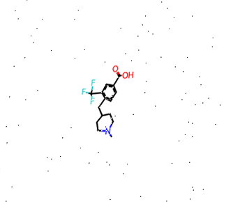 CN1CCC(Cc2ccc(C(=O)O)cc2C(F)(F)F)CC1